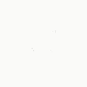 Clc1cncs1